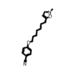 CN1CC=C(CCCCCCCOc2ccc(C#N)cc2)O1